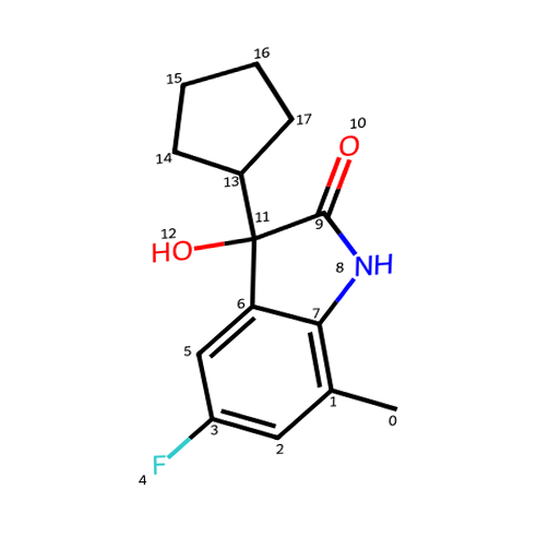 Cc1cc(F)cc2c1NC(=O)C2(O)C1CCCC1